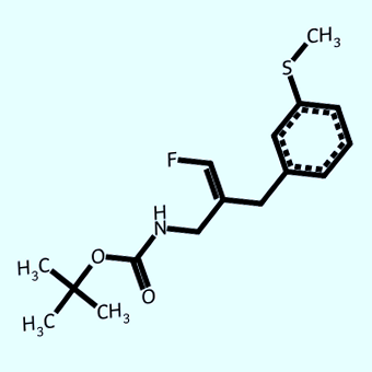 CSc1cccc(CC(=CF)CNC(=O)OC(C)(C)C)c1